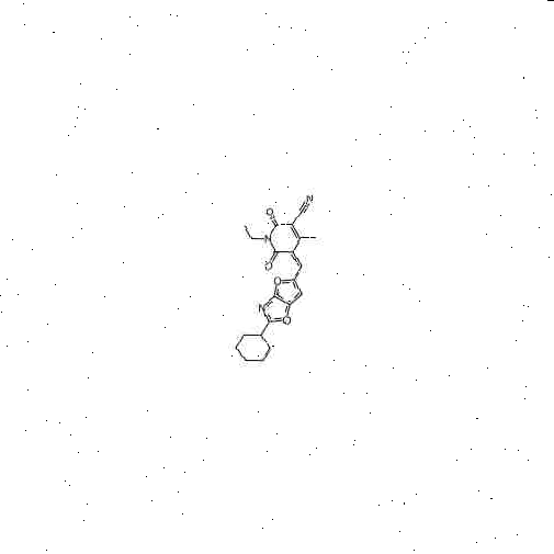 CCN1C(=O)C(C#N)=C(C)/C(=C/c2cc3oc(C4CCCCC4)nc3o2)C1=O